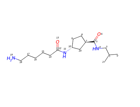 CC(C)CNC(=O)[C@@H]1CC[C@@H](NC(=O)CCCCCN)C1